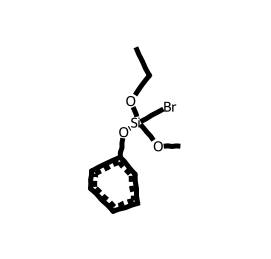 CCO[Si](Br)(OC)Oc1ccccc1